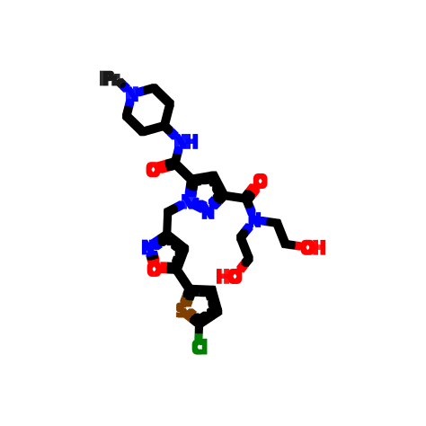 CC(C)N1CCC(NC(=O)c2cc(C(=O)N(CCO)CCO)nn2Cc2cc(-c3ccc(Cl)s3)on2)CC1